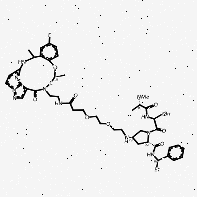 CC[C@@H](NC(=O)[C@@H]1C[C@H](NCCOCCOCCC(=O)NCCN2C[C@H](C)Oc3ccc(F)cc3C(C)Nc3ccn4ncc(c4n3)C2=O)CN1C(=O)C(NC(=O)[C@H](C)NC)C(C)(C)C)c1ccccc1